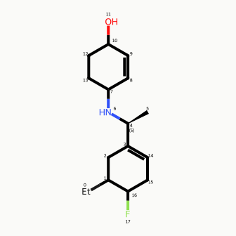 CCC1CC([C@H](C)NC2C=CC(O)CC2)=CCC1F